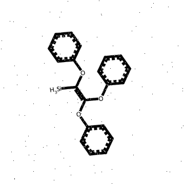 [SiH3]C(Oc1ccccc1)=C(Oc1ccccc1)Oc1ccccc1